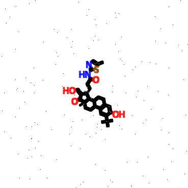 Cc1cnc(NC(=O)CC[C@@H]2C(=CO)C(=O)[C@@]3(C)CCC4c5cc(C(C)(C)C)c(O)cc5CCC4C23)s1